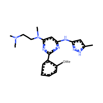 COc1ccccc1-c1nc(Nc2cc(C)[nH]n2)cc(N(C)CCN(C)C)n1